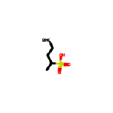 CC(CCC=O)S(=O)(=O)O